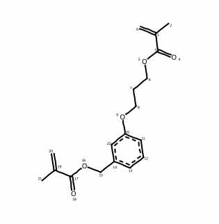 C=C(C)C(=O)OCCCOc1cccc(COC(=O)C(=C)C)c1